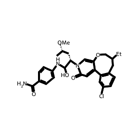 CCC1COc2cn([C@@H](C[C@H](C)OC)C(O)Nc3ccc(C(N)=O)cc3)c(=O)cc2-c2cc(Cl)ccc2C1